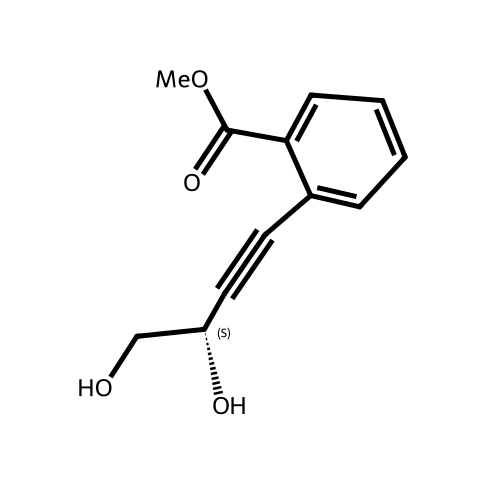 COC(=O)c1ccccc1C#C[C@H](O)CO